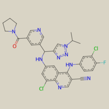 CC(C)n1cc(C(Nc2cc(Cl)c3ncc(C#N)c(Nc4ccc(F)c(Cl)c4)c3c2)c2cncc(C(=O)N3CCCC3)c2)nn1